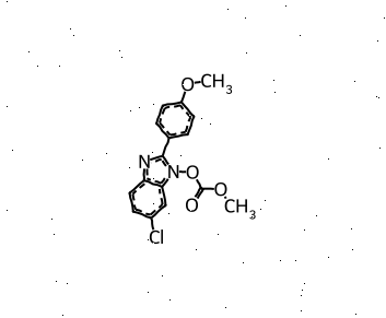 COC(=O)On1c(-c2ccc(OC)cc2)nc2ccc(Cl)cc21